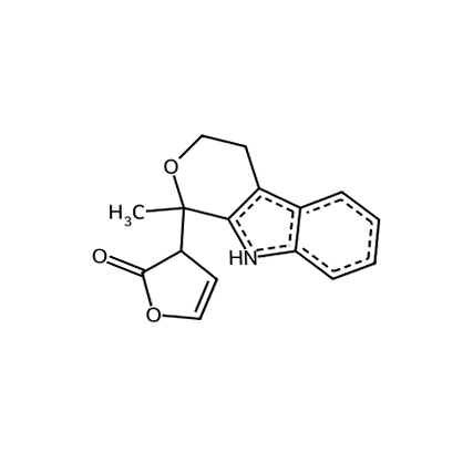 CC1(C2C=COC2=O)OCCc2c1[nH]c1ccccc21